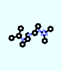 c1ccc(-c2cc(-c3ccccc3)cc(-n3c4ccccc4c4ccc5c(ccn5-c5ccc6c(c5)c5ccccc5n6-c5nc(-c6ccccc6)nc(-c6ccccc6)n5)c43)c2)cc1